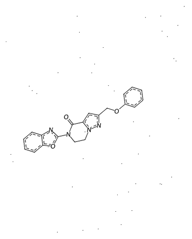 O=C1c2cc(COc3ccccc3)nn2CCN1c1nc2ccccc2o1